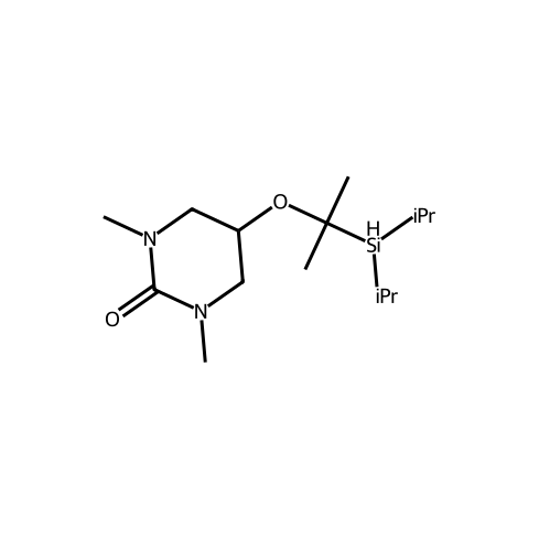 CC(C)[SiH](C(C)C)C(C)(C)OC1CN(C)C(=O)N(C)C1